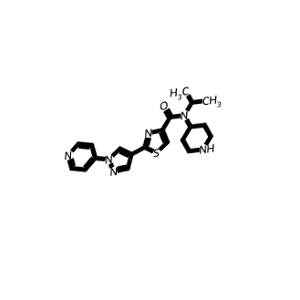 CC(C)N(C(=O)c1csc(-c2cnn(-c3ccncc3)c2)n1)C1CCNCC1